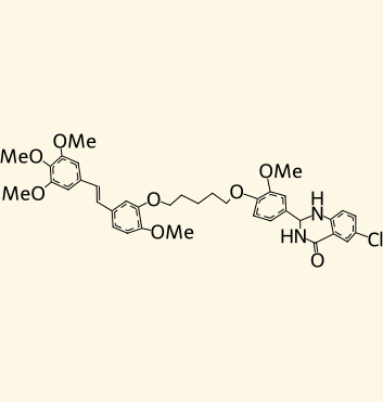 COc1cc(C2NC(=O)c3cc(Cl)ccc3N2)ccc1OCCCCCOc1cc(C=Cc2cc(OC)c(OC)c(OC)c2)ccc1OC